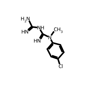 CN(C(=N)NC(=N)N)c1ccc(Cl)cc1